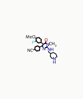 COc1ccc(-c2c(-c3ccc(C#N)cc3)nc(NCC3CCCNCC3)n(C)c2=O)cc1F